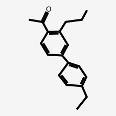 CCCc1cc(-c2ccc(CC)cc2)ccc1C(C)=O